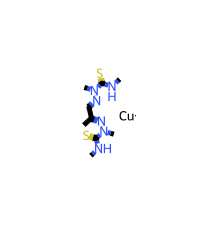 CNC(=S)N(C)N=CC(C)=NN(C)C(=S)NC.[Cu]